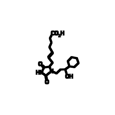 O=C(O)CCCC=CCC1C(=O)NC(=O)N1CCC(O)C1CCCCC1